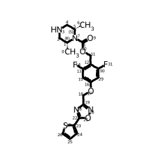 C[C@@H]1CNC[C@H](C)N1C(=O)OCc1c(F)cc(OCc2noc(-c3cccs3)n2)cc1F